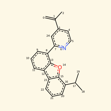 C=C(C)c1ccnc(-c2cccc3c2oc2c(C(C)C)cccc23)c1